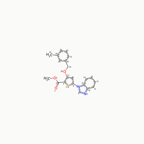 COC(=O)c1sc(-n2cnc3ccccc32)cc1OCc1cccc(C)c1